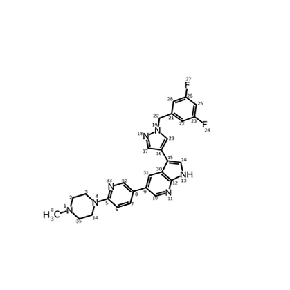 CN1CCN(c2ccc(-c3cnc4[nH]cc(-c5cnn(Cc6cc(F)cc(F)c6)c5)c4c3)cn2)CC1